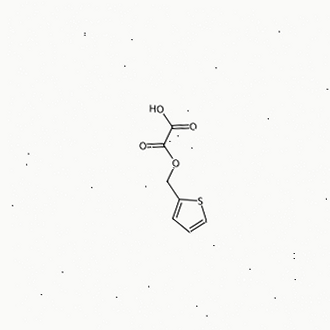 O=C(O)C(=O)OCc1cccs1